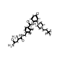 NC(=O)C[C@H](N)C(=O)NCc1ccc(C(=O)Nc2ccc(Cl)cc2N2CCN(CCC(F)(F)F)CC2)c(F)c1F